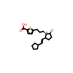 O=C(O)c1ccc(CCC[C@H]2C(Cl)CCC2/C=C/C2CCCC2)s1